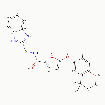 Cc1cc2c(cc1Oc1ccc(C(=O)NCc3nc4ccccc4[nH]3)o1)C(C)(C)CCO2